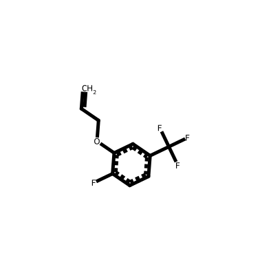 C=CCOc1cc(C(F)(F)F)ccc1F